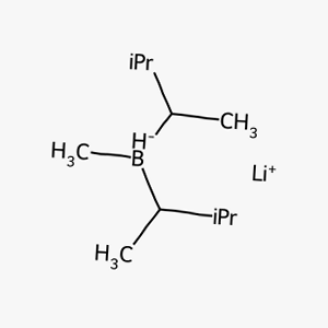 C[BH-](C(C)C(C)C)C(C)C(C)C.[Li+]